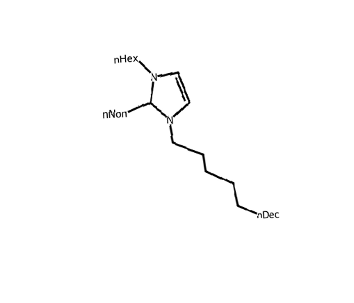 CCCCCCCCCCCCCCCN1C=CN(CCCCCC)C1CCCCCCCCC